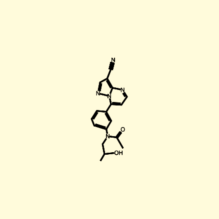 CC(=O)N(CC(C)O)c1cccc(-c2ccnc3c(C#N)cnn23)c1